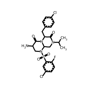 CC(C)N1CC2N(C(=O)C(N)CN2S(=O)(=O)c2cc(Cl)ccc2F)C(Cc2ccc(Cl)cc2)C1=O